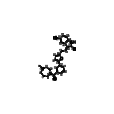 CN1CCCN(C(=O)c2cccc(-c3ccc(C/C=C4/C(=O)Nc5ccc(Cl)cc54)o3)c2)CC1